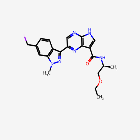 CCOC[C@H](C)NC(=O)c1c[nH]c2ncc(-c3nn(C)c4cc(CI)ccc34)nc12